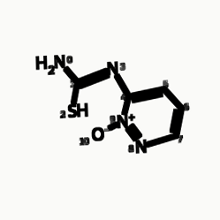 N/C(S)=N/c1cccn[n+]1[O-]